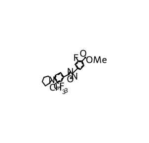 COC(=O)c1ccc(-c2noc(-c3ccc(N4CCCCC4C)c(C(F)(F)F)c3)n2)cc1F